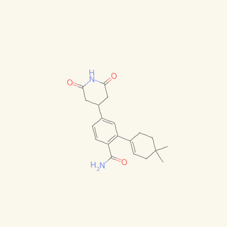 CC1(C)CC=C(c2cc(C3CC(=O)NC(=O)C3)ccc2C(N)=O)CC1